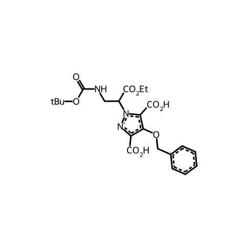 CCOC(=O)C(CNC(=O)OC(C)(C)C)n1nc(C(=O)O)c(OCc2ccccc2)c1C(=O)O